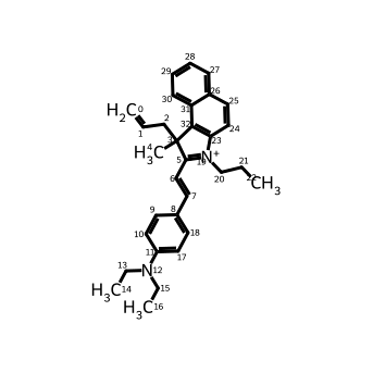 C=CCC1(C)C(/C=C/c2ccc(N(CC)CC)cc2)=[N+](CCC)c2ccc3ccccc3c21